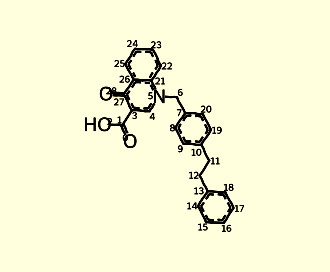 O=C(O)c1cn(Cc2ccc(CCc3ccccc3)cc2)c2ccccc2c1=O